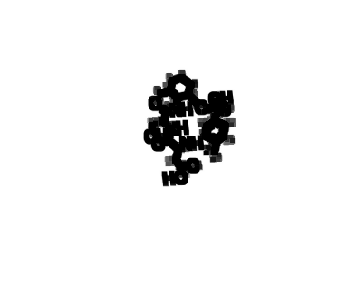 CC1CCCC(C)C1NC(=O)[C@@H](CO)NC(=O)[C@@H](N)CC(=O)O.Cc1ccc(S(=O)(=O)O)cc1